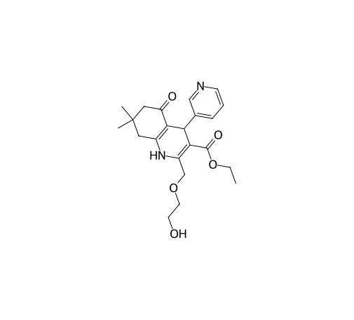 CCOC(=O)C1=C(COCCO)NC2=C(C(=O)CC(C)(C)C2)C1c1cccnc1